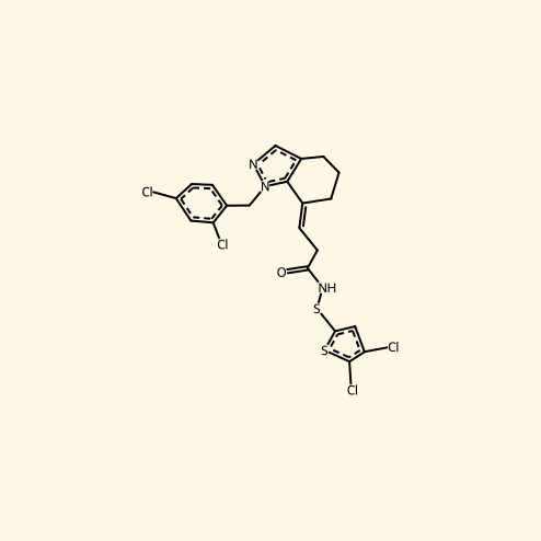 O=C(C/C=C1\CCCc2cnn(Cc3ccc(Cl)cc3Cl)c21)NSc1cc(Cl)c(Cl)s1